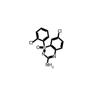 NC1=Nc2ccc(Cl)cc2S(=O)(c2ccccc2Cl)=N1